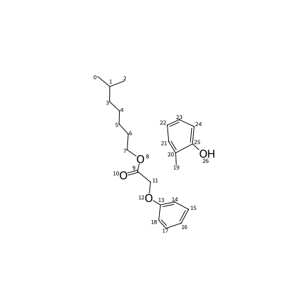 CC(C)CCCCCOC(=O)COc1ccccc1.Cc1ccccc1O